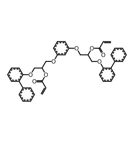 C=CC(=O)OC(COc1cccc(OCC(COc2ccccc2-c2ccccc2)OC(=O)C=C)c1)COc1ccccc1-c1ccccc1